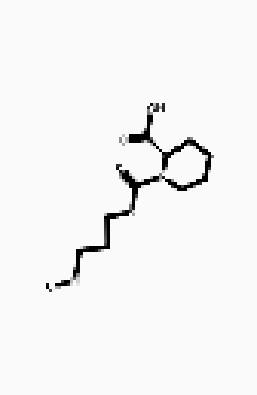 O=C(O)[C@H]1CCCCN1C(=S)SCCCNCl